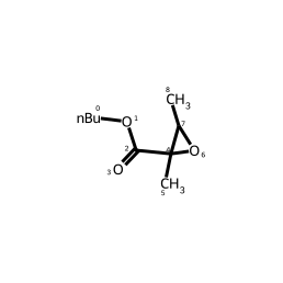 CCCCOC(=O)C1(C)OC1C